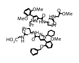 COC(=O)CNC(=O)C[C@H](CC(C)C)NC(=O)c1cc(-c2c(OC)cccc2OC)n(CC(C)C)n1.COc1cccc(OCc2ccccc2)c1-c1cc(C(=O)N[C@H](CC(=O)NCC(=O)O)CC(C)C)nn1C1CCCCC1